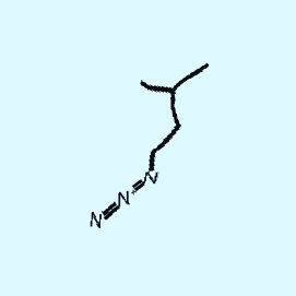 CC(C)CCN=[N+]=[N-]